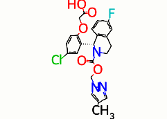 Cc1cnn(COC(=O)N2CCc3cc(F)ccc3[C@H]2c2cc(Cl)ccc2OCC(=O)O)c1